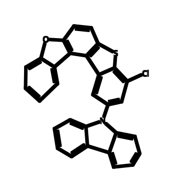 Clc1cc(-n2c3ccccc3c3ccccc32)cc2c1sc1ccc3oc4ccccc4c3c12